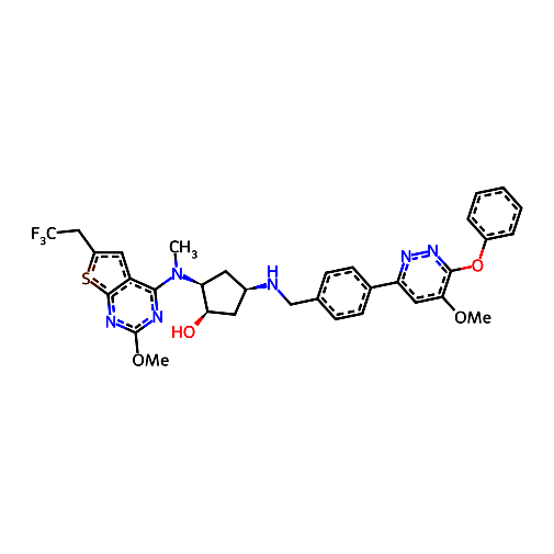 COc1nc(N(C)[C@H]2C[C@@H](NCc3ccc(-c4cc(OC)c(Oc5ccccc5)nn4)cc3)C[C@H]2O)c2cc(CC(F)(F)F)sc2n1